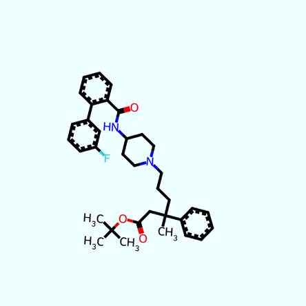 CC(C)(C)OC(=O)CC(C)(CCCN1CCC(NC(=O)c2ccccc2-c2cccc(F)c2)CC1)c1ccccc1